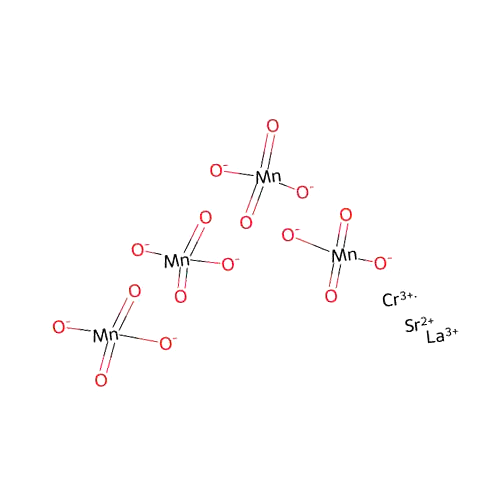 [Cr+3].[La+3].[O]=[Mn](=[O])([O-])[O-].[O]=[Mn](=[O])([O-])[O-].[O]=[Mn](=[O])([O-])[O-].[O]=[Mn](=[O])([O-])[O-].[Sr+2]